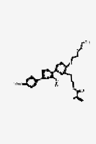 C=C(C)C(=O)OCCCc1cc(-c2ccc(-c3ccc(CCCCC)cc3)cc2OCC)ccc1OCCOCCO